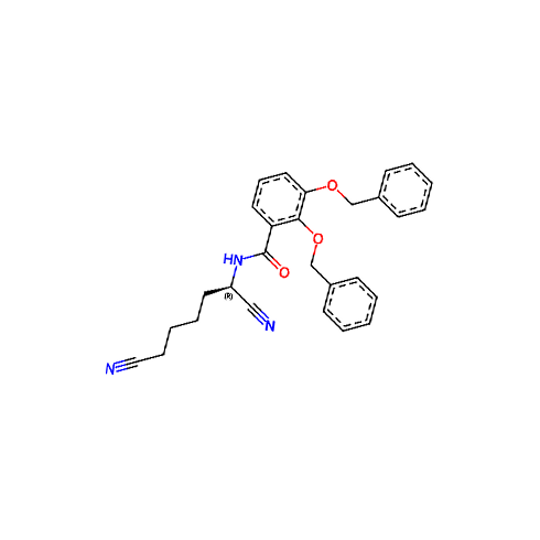 N#CCCCC[C@H](C#N)NC(=O)c1cccc(OCc2ccccc2)c1OCc1ccccc1